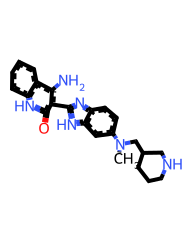 CN(CC1CCCNC1)c1ccc2nc(-c3c(N)c4ccccc4[nH]c3=O)[nH]c2c1